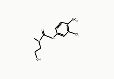 CN(CCO)C(=O)Nc1ccc([N+](=O)[O-])c(C(F)(F)F)c1